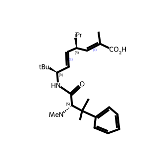 CN[C@H](C(=O)N[C@H](/C=C/[C@H](/C=C(\C)C(=O)O)C(C)C)C(C)(C)C)C(C)(C)c1ccccc1